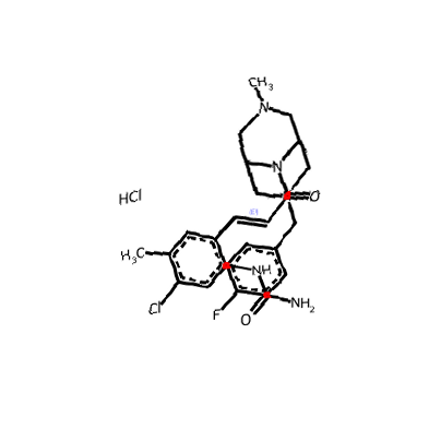 Cc1cc(/C=C/C(=O)N2C3CN(C)CC2CN(Cc2ccc(F)cc2)C3)c(NC(N)=O)cc1Cl.Cl